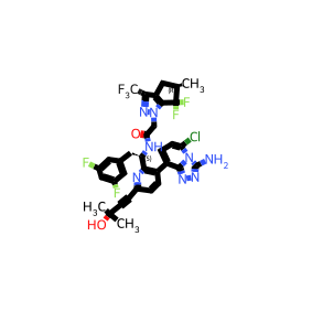 C[C@@H]1Cc2c(C(F)(F)F)nn(CC(=O)N[C@@H](Cc3cc(F)cc(F)c3)c3nc(C#CC(C)(C)O)ccc3-c3ccc(Cl)n4c(N)nnc34)c2C1(F)F